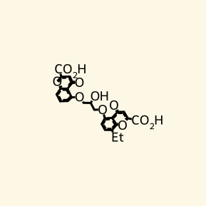 CCc1ccc(OCC(O)COc2cccc3oc(C(=O)O)cc(=O)c23)c2c(=O)cc(C(=O)O)oc12